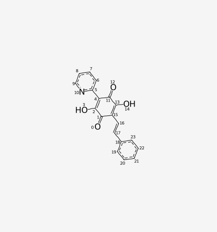 O=C1C(O)=C(c2ccccn2)C(=O)C(O)=C1C=Cc1ccccc1